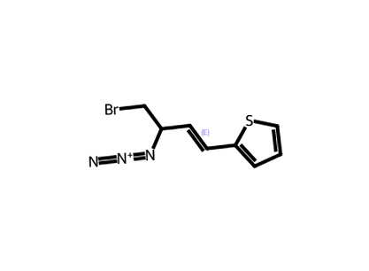 [N-]=[N+]=NC(/C=C/c1cccs1)CBr